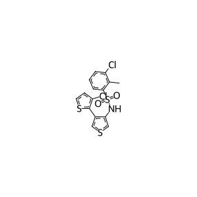 Cc1c(Cl)cccc1S(=O)(=O)Nc1cscc1-c1sccc1Cl